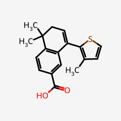 Cc1ccsc1C1=CCC(C)(C)c2ccc(C(=O)O)cc21